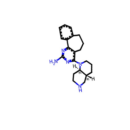 Nc1nc2c(c(N3CCC[C@@H]4CNCC[C@H]43)n1)CCCc1ccccc1-2